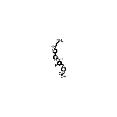 NCCCNc1ccc(-c2ccnc(Nc3cc(F)cc(CN4CCN(CC(=O)O)CC4)c3)n2)cn1